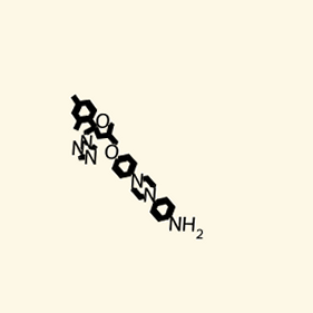 Cc1ccc(C2(Cn3cncn3)CC(COc3ccc(N4CCN(c5ccc(N)cc5)CC4)cc3)CO2)c(C)c1